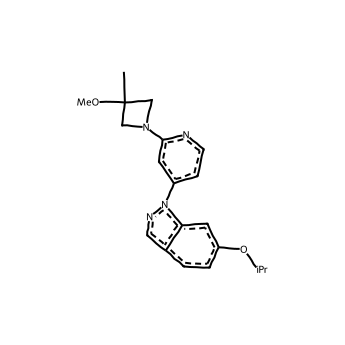 COC1(C)CN(c2cc(-n3ncc4ccc(OC(C)C)cc43)ccn2)C1